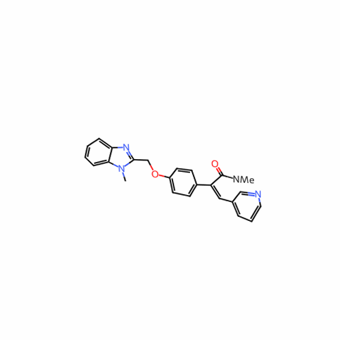 CNC(=O)C(=Cc1cccnc1)c1ccc(OCc2nc3ccccc3n2C)cc1